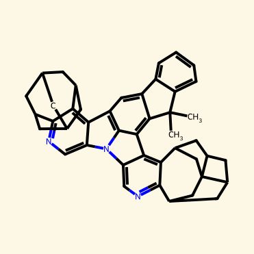 CC1(C)c2ccccc2-c2cc3c4c5c(ncc4n4c6cnc7c(c6c(c21)c34)C1CC2CC3CC7CC32C1)C1CC2CC(C1)CC5C2